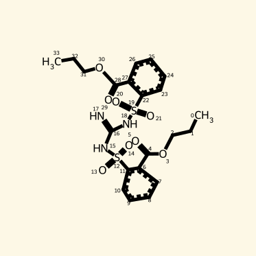 CCCOC(=O)c1ccccc1S(=O)(=O)NC(=N)NS(=O)(=O)c1ccccc1C(=O)OCCC